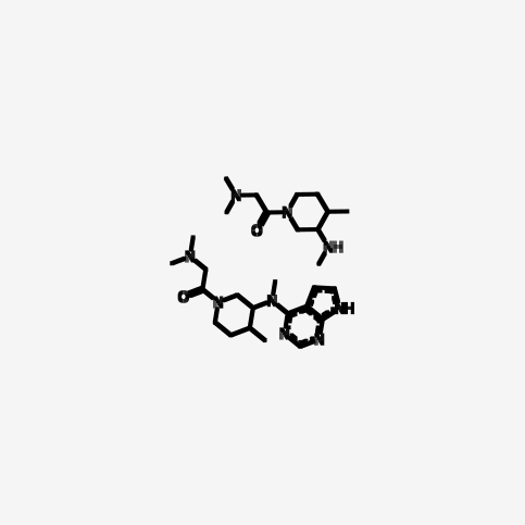 CC1CCN(C(=O)CN(C)C)CC1N(C)c1ncnc2[nH]ccc12.CNC1CN(C(=O)CN(C)C)CCC1C